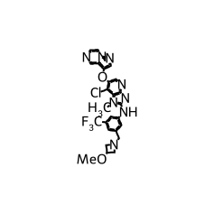 COC1CN(Cc2cc(Nc3nc4ncc(Oc5cnn6ccncc56)c(Cl)c4n3C)cc(C(F)(F)F)c2)C1